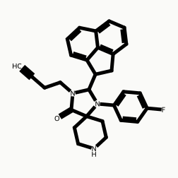 C#CCCN1C(=O)C2(CCNCC2)N(c2ccc(F)cc2)C1C1Cc2cccc3cccc1c23